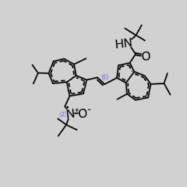 Cc1ccc(C(C)C)cc2c(/C=[N+](\[O-])C(C)(C)C)cc(/C=C/c3cc(C(=O)NC(C)(C)C)c4cc(C(C)C)ccc(C)c3-4)c1-2